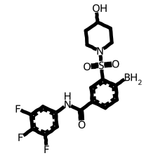 Bc1ccc(C(=O)Nc2cc(F)c(F)c(F)c2)cc1S(=O)(=O)N1CCC(O)CC1